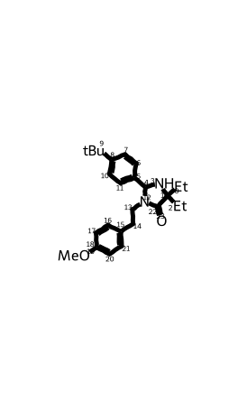 CCC1(CC)NC(c2ccc(C(C)(C)C)cc2)N(CCc2ccc(OC)cc2)C1=O